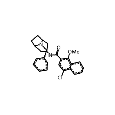 COc1c(C(=O)NC2CC3CCC(C2)N3Cc2ccccc2)cc(Cl)c2ccccc12